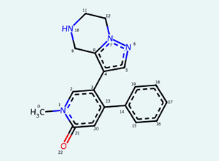 Cn1cc(-c2cnn3c2CNCC3)c(-c2ccccc2)cc1=O